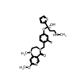 CNCC[C@@](O)(Oc1ccc(CN2CCN(C)c3cc(OC)ncc3C2=O)c(F)c1)c1cccs1